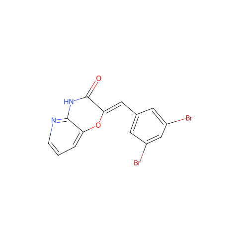 O=C1Nc2ncccc2O/C1=C\c1cc(Br)cc(Br)c1